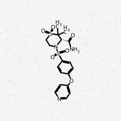 CC1(C)[C@H](C(N)=O)N(S(=O)(=O)c2ccc(Oc3ccncc3)cc2)CCS1(=O)=O